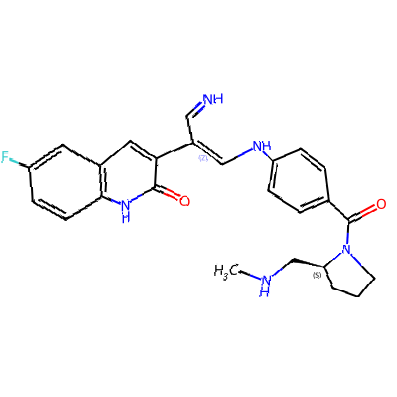 CNC[C@@H]1CCCN1C(=O)c1ccc(N/C=C(\C=N)c2cc3cc(F)ccc3[nH]c2=O)cc1